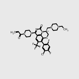 C=CC(=O)N1CCN(c2nc(=O)n3c4c(c(-c5cc(Cl)c(F)cc5F)c(C(F)(F)F)cc24)SC[C@@H]3CN2CCN(CC)CC2)CC1